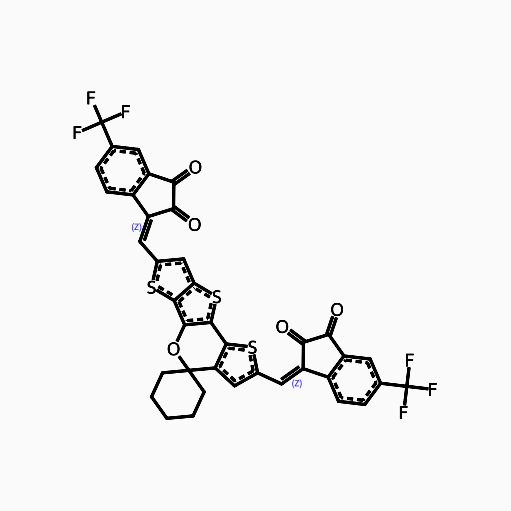 O=C1C(=O)c2cc(C(F)(F)F)ccc2/C1=C/c1cc2c(s1)-c1sc3cc(/C=C4\C(=O)C(=O)c5cc(C(F)(F)F)ccc54)sc3c1OC21CCCCC1